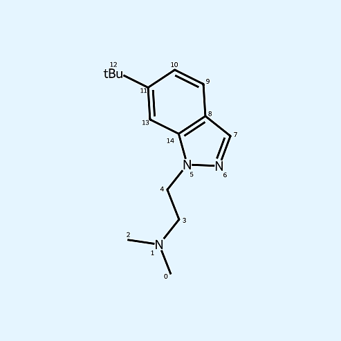 CN(C)CCn1ncc2ccc(C(C)(C)C)cc21